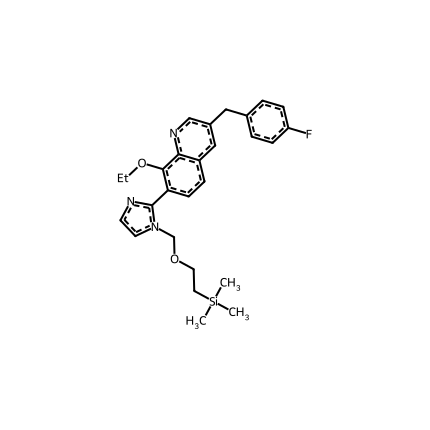 CCOc1c(-c2nccn2COCC[Si](C)(C)C)ccc2cc(Cc3ccc(F)cc3)cnc12